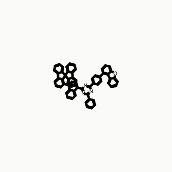 c1ccc(-c2nc(-c3ccc(-c4cccc5oc6ccccc6c45)cc3)nc(-c3ccc(-c4cccc5c4C4(c6ccccc6-c6ccccc64)c4ccccc4-5)c4ccccc34)n2)cc1